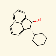 O[C@@H]1c2cccc3cccc(c23)[C@H]1C1CCCCC1